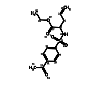 C=CCC(NS(=O)(=O)c1ccc(C(C)=O)cc1)C(=O)OCC